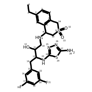 CCc1ccc2c(c1)C(NCC(O)C(Cc1cc(F)cc(F)c1)Nc1nnc(N)s1)CS(=O)(=O)C2